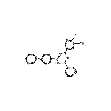 Cc1cc(C2N=C(c3ccc(-c4ccccc4)cc3)NC(c3ccccc3)N2)ccc1F